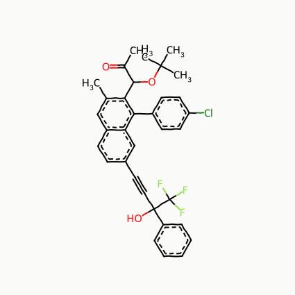 CC(=O)C(OC(C)(C)C)c1c(C)cc2ccc(C#CC(O)(c3ccccc3)C(F)(F)F)cc2c1-c1ccc(Cl)cc1